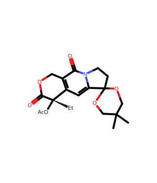 CC[C@@]1(OC(C)=O)C(=O)OCc2c1cc1n(c2=O)CCC12OCC(C)(C)CO2